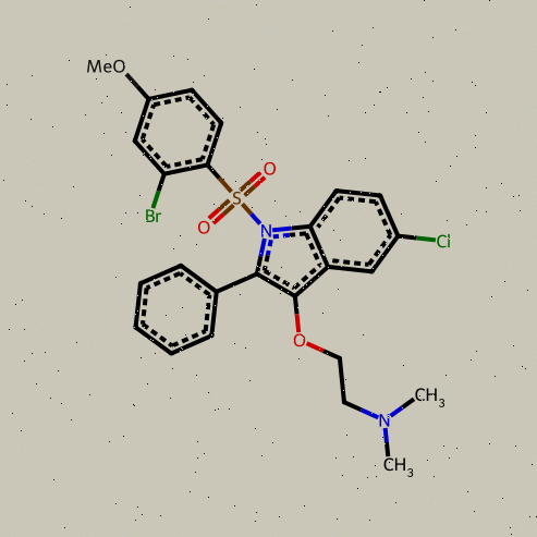 COc1ccc(S(=O)(=O)n2c(-c3ccccc3)c(OCCN(C)C)c3cc(Cl)ccc32)c(Br)c1